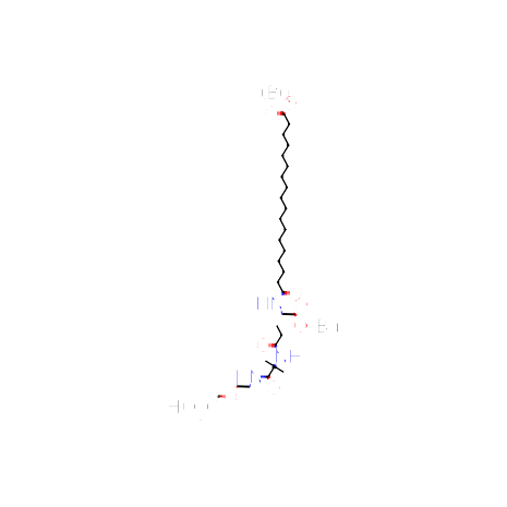 CC(C)(C)OC(=O)CCCCCCCCCCCCCCCCC(=O)N[C@@H](CCC(=O)NC(C)(C)C(=O)NCCOCC(=O)O)C(=O)OC(C)(C)C